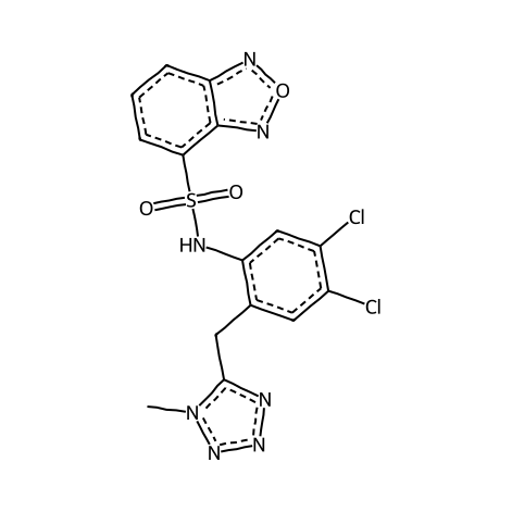 Cn1nnnc1Cc1cc(Cl)c(Cl)cc1NS(=O)(=O)c1cccc2nonc12